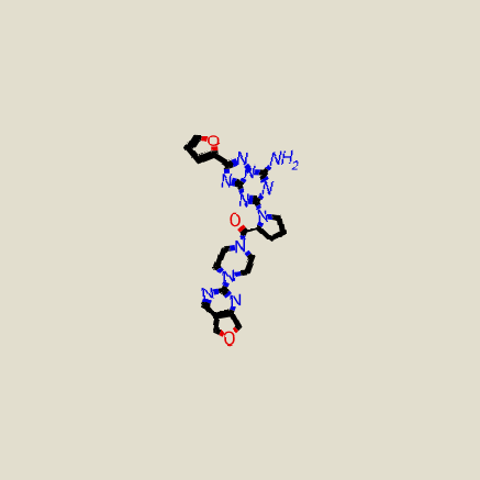 Nc1nc(N2CCC[C@H]2C(=O)N2CCN(c3ncc4c(n3)COC4)CC2)nc2nc(-c3ccco3)nn12